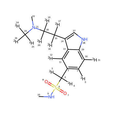 [2H]c1c(C([2H])([2H])S(=O)(=O)NC)c([2H])c2c(C([2H])([2H])C([2H])([2H])N(C)C([2H])([2H])[2H])c[nH]c2c1[2H]